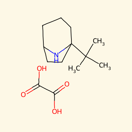 CC(C)(C)C12CCCC(CC1)N2.O=C(O)C(=O)O